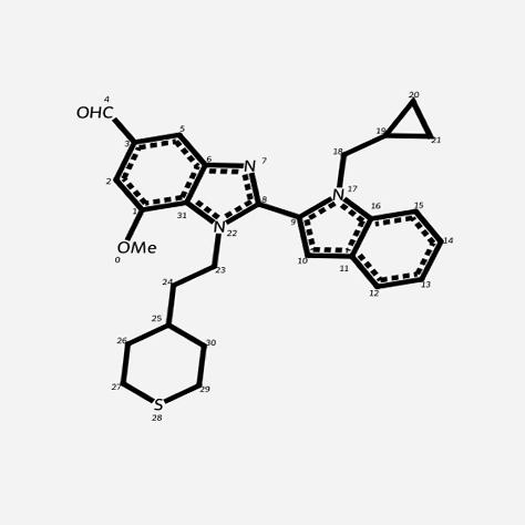 COc1cc(C=O)cc2nc(-c3cc4ccccc4n3CC3CC3)n(CCC3CCSCC3)c12